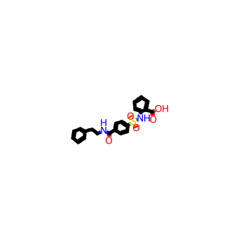 O=C(NCCc1ccccc1)c1ccc(S(=O)(=O)Nc2ccccc2C(=O)O)cc1